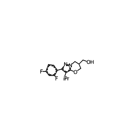 CC(C)c1c(-c2ccc(F)cc2F)nn2c1OCC(CO)C2